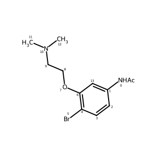 CC(=O)Nc1ccc(Br)c(OCCN(C)C)c1